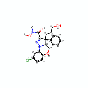 CON(C)C(=O)C1=NN2c3cc(Cl)ccc3OCC2C1(CCCO)c1ccccc1